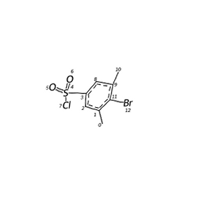 Cc1cc(S(=O)(=O)Cl)cc(C)c1Br